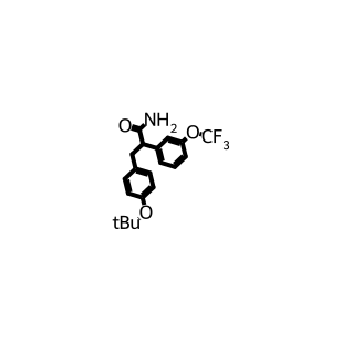 CC(C)(C)Oc1ccc(CC(C(N)=O)c2cccc(OC(F)(F)F)c2)cc1